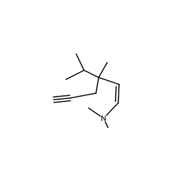 C#CCC(C)(/C=C\N(C)C)C(C)C